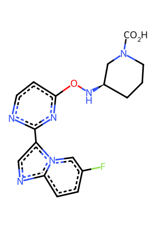 O=C(O)N1CCC[C@@H](NOc2ccnc(-c3cnc4ccc(F)cn34)n2)C1